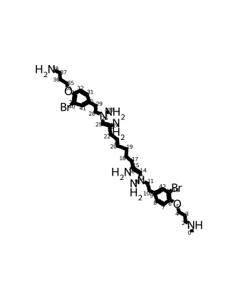 CNCCCOc1ccc(CCN(N)/C=C(\N)CCCCCC/C(N)=C/N(N)CCc2ccc(OCCCN)c(Br)c2)cc1Br